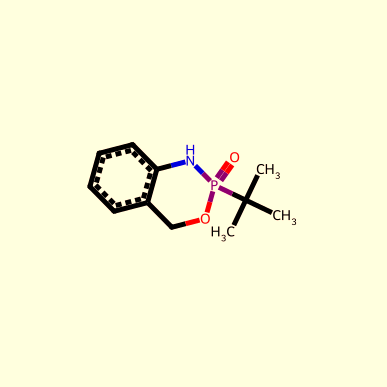 CC(C)(C)P1(=O)Nc2ccccc2CO1